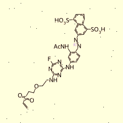 C=CS(=O)(=O)CCOCCNc1nc(F)nc(Nc2ccc(/N=N/c3cc(S(=O)(=O)O)c4cccc(S(=O)(=O)O)c4c3)c(NC(C)=O)c2)n1